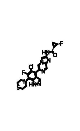 O=C(Nc1cn2cc(-c3c(Cl)c(F)c(N4CCSCC4)c4[nH]ncc34)ncc2n1)[C@@H]1C[C@@H]1F